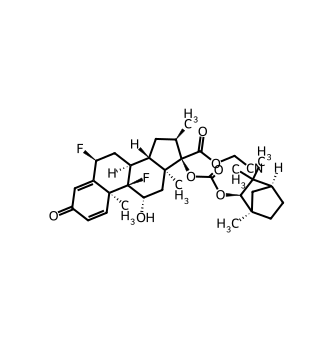 C[C@@H]1C[C@H]2[C@@H]3C[C@H](F)C4=CC(=O)C=C[C@]4(C)[C@@]3(F)[C@@H](O)C[C@]2(C)[C@@]1(OC(=O)O[C@H]1C(C)(C)[C@H]2CC[C@]1(C)C2)C(=O)OCC#N